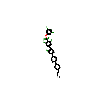 CCCC1CCC(c2ccc(-c3ccc(-c4cc(F)c(C(F)(F)Oc5cc(F)c(F)c(F)c5)c(F)c4)c(F)c3)cc2)CC1